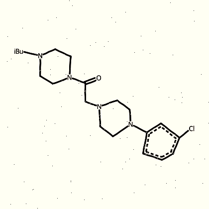 CCC(C)N1CCN(C(=O)CN2CCN(c3cccc(Cl)c3)CC2)CC1